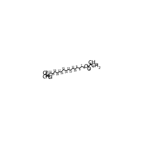 C=C(C)C(=O)OCCCCCCCCCCCCCCCC[Si](Cl)(Cl)Cl